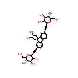 OCCC1(CCO)c2cc(C#CC3OC(CO)[C@@H](O)C(O)C3O)ccc2-c2ccc(C#CC3OC(CO)[C@@H](O)C(O)C3O)cc21